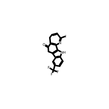 O=C1Cc2c([nH]c3ccc(C(F)(F)F)cc23)C2=C1CC=CC(I)=N2